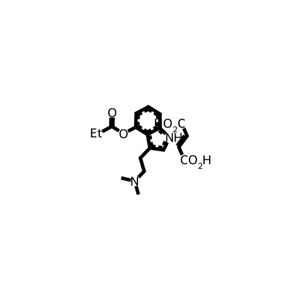 CCC(=O)Oc1cccc2[nH]cc(CCN(C)C)c12.O=C(O)/C=C/C(=O)O